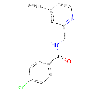 CC(=O)Nc1ccnc(CNC(=O)c2ccc(Cl)cc2)c1